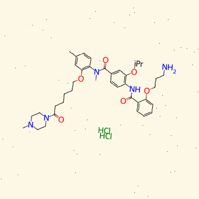 Cc1ccc(N(C)C(=O)c2ccc(NC(=O)c3ccccc3OCCCN)c(OC(C)C)c2)c(OCCCCCC(=O)N2CCN(C)CC2)c1.Cl.Cl